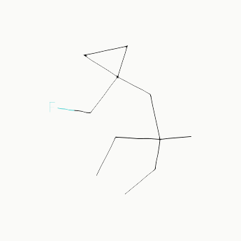 CCC(C)(CC)CC1(CF)CC1